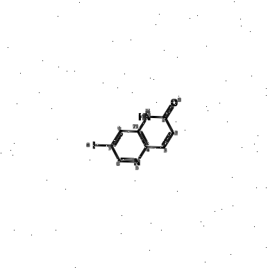 O=c1ccc2ncc(I)cc2[nH]1